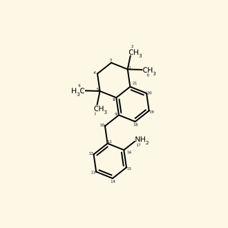 CC1(C)CCC(C)(C)c2c(Cc3ccccc3N)cccc21